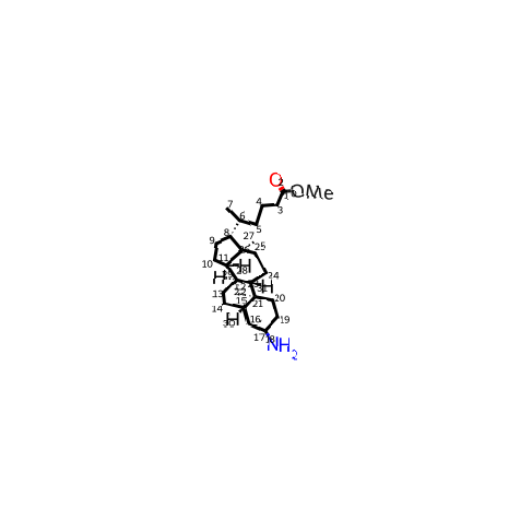 COC(=O)CCCC(C)[C@H]1CC[C@H]2[C@@H]3CC[C@H]4CC(N)CC[C@]4(C)[C@H]3CC[C@]12C